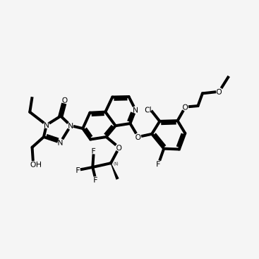 CCn1c(CO)nn(-c2cc(O[C@@H](C)C(F)(F)F)c3c(Oc4c(F)ccc(OCCOC)c4Cl)nccc3c2)c1=O